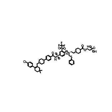 CC1(C)CCC(c2ccc(Cl)cc2)=C(CN2CCN(c3ccc(C(=O)NS(=O)(=O)c4ccc(N[C@H](CCN5CCC(C(=O)OCCP(=O)(O)O)CC5)CSc5ccccc5)c(S(=O)(=O)C(F)(F)F)c4)cc3)CC2)C1